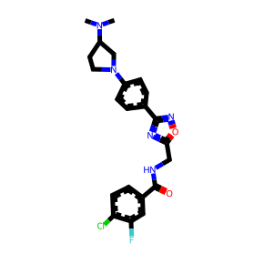 CN(C)C1CCN(c2ccc(-c3noc(CNC(=O)c4ccc(Cl)c(F)c4)n3)cc2)C1